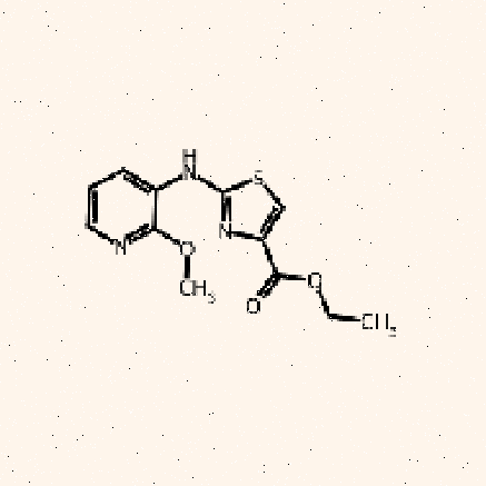 CCOC(=O)c1csc(Nc2cccnc2OC)n1